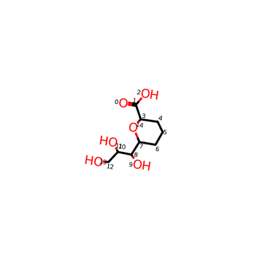 O=C(O)C1CCCC(C(O)C(O)CO)O1